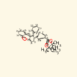 CC1(C)OB(c2ccc(-c3ccccc3-c3cccc4oc5ccccc5c34)cc2)OC1(C)C